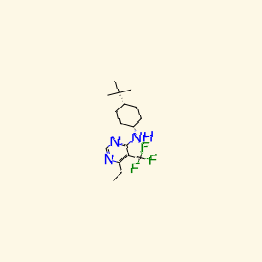 CCc1ncnc(N[C@H]2CC[C@@H](C(C)(C)C)CC2)c1C(F)(F)F